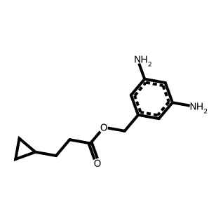 Nc1cc(N)cc(COC(=O)CCC2CC2)c1